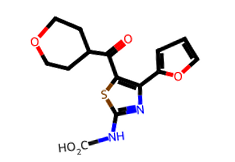 O=C(O)Nc1nc(-c2ccco2)c(C(=O)C2CCOCC2)s1